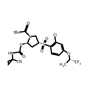 C[C@H](Oc1ccc(S(=O)(=O)[C@@H]2C[C@@H](OC(=O)NC3(C#N)CC3)N(C(=O)C(C)(C)C)C2)c(Cl)c1)C(F)(F)F